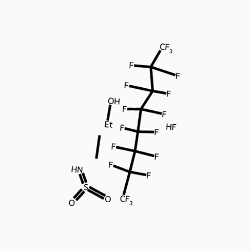 CC.CCO.F.FC(F)(F)C(F)(F)C(F)(F)C(F)(F)C(F)(F)C(F)(F)C(F)(F)C(F)(F)F.N=S(=O)=O